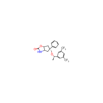 C[C@@H](OC[C@]1(c2ccccc2)CC2NC(=O)OC2C1)c1cc(C(F)(F)F)cc(C(F)(F)F)c1